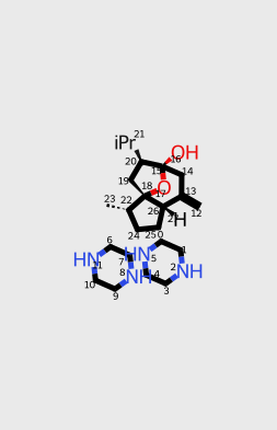 C1CNCCN1.C1CNCCN1.C=C1C[C@]2(O)O[C@@]3(C[C@H]2C(C)C)[C@@H](C)CC[C@@H]13